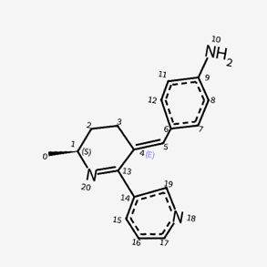 C[C@H]1CC/C(=C\c2ccc(N)cc2)C(c2cccnc2)=N1